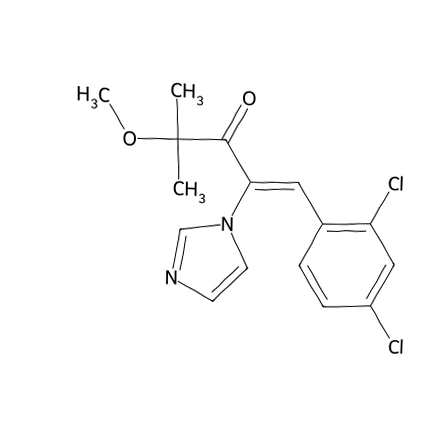 COC(C)(C)C(=O)/C(=C/c1ccc(Cl)cc1Cl)n1ccnc1